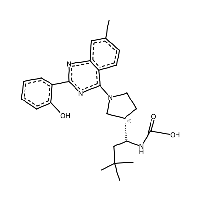 Cc1ccc2c(N3CC[C@H](C(CC(C)(C)C)NC(=O)O)C3)nc(-c3ccccc3O)nc2c1